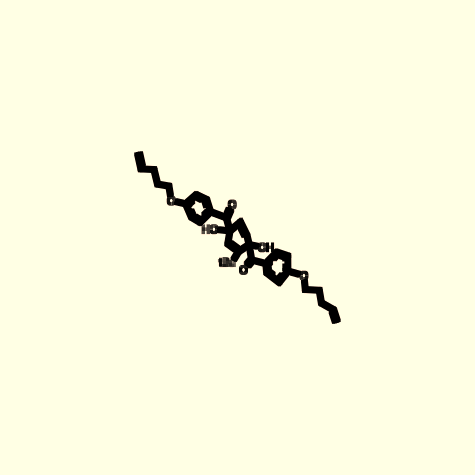 C=CCCCOc1ccc(C(=O)C2(O)C=CC(O)(C(=O)c3ccc(OCCCC=C)cc3)C(C(C)(C)C)=C2)cc1